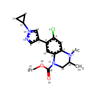 CC(=O)N1c2cc(Cl)c(-c3cnn(C4CC4)c3)cc2N(C(=O)OC(C)C)CC1C